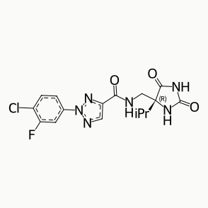 CC(C)[C@]1(CNC(=O)c2cnn(-c3ccc(Cl)c(F)c3)n2)NC(=O)NC1=O